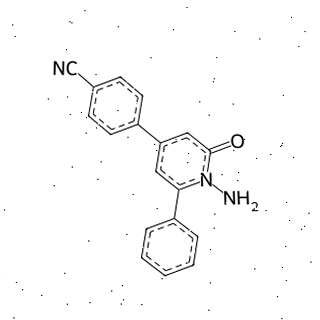 N#Cc1ccc(-c2cc(-c3ccccc3)n(N)c(=O)c2)cc1